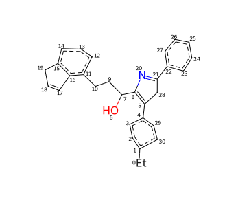 CCc1ccc(C2=C(C(O)CCc3cccc4c3C=CC4)N=C(c3ccccc3)C2)cc1